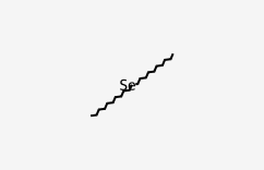 CCCCCCCCCC[Se]CCCCCCCCCC